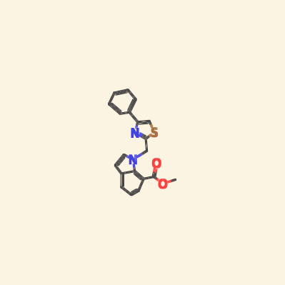 COC(=O)c1cccc2ccn(Cc3nc(-c4ccccc4)cs3)c12